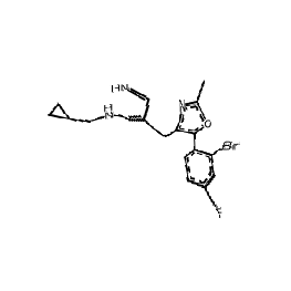 Cc1nc(C/C(C=N)=C/NCC2CC2)c(-c2ccc(F)cc2Br)o1